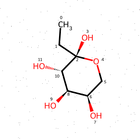 CC[C@]1(O)OC[C@@H](O)[C@@H](O)[C@@H]1O